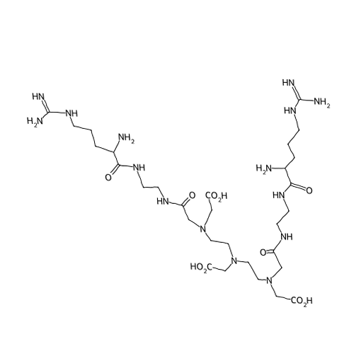 N=C(N)NCCCC(N)C(=O)NCCNC(=O)CN(CCN(CCN(CC(=O)O)CC(=O)NCCNC(=O)C(N)CCCNC(=N)N)CC(=O)O)CC(=O)O